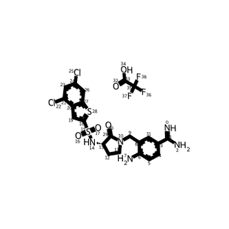 N=C(N)c1ccc(N)c(CN2CC[C@H](NS(=O)(=O)c3cc4c(Cl)cc(Cl)cc4s3)C2=O)c1.O=C(O)C(F)(F)F